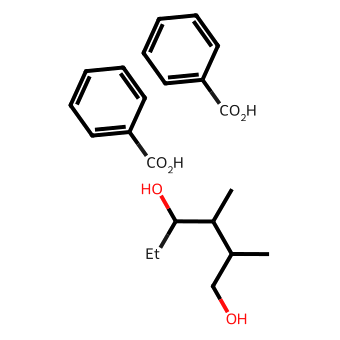 CCC(O)C(C)C(C)CO.O=C(O)c1ccccc1.O=C(O)c1ccccc1